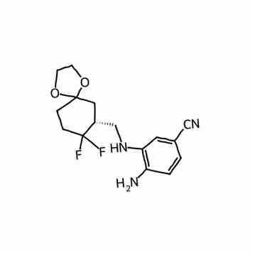 N#Cc1ccc(N)c(NC[C@H]2CC3(CCC2(F)F)OCCO3)c1